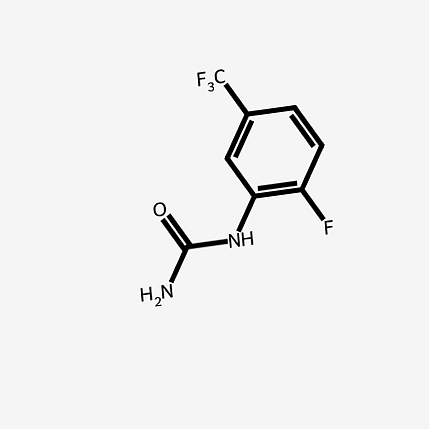 NC(=O)Nc1cc(C(F)(F)F)ccc1F